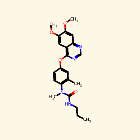 CCCNC(=O)N(C)c1ccc(Oc2ncnc3cc(OC)c(OC)cc23)cc1C